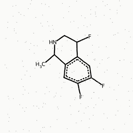 CC1NCC(F)c2cc(F)c(F)cc21